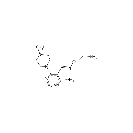 NCCO/N=C/c1c(N)ncnc1N1CCN(C(=O)O)CC1